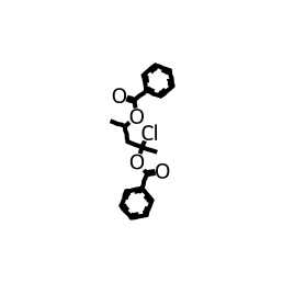 CC(CC(C)(Cl)OC(=O)c1ccccc1)OC(=O)c1ccccc1